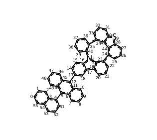 c1ccc2c(-c3c4ccccc4c(-c4ccc5c(c4)c4cccc6c7cccc8sc9cccc(c%10ccccc%10n5c64)c9c87)c4ccccc34)cccc2c1